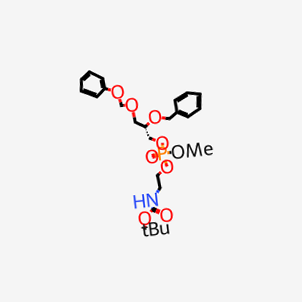 COP(=O)(OCCNC(=O)OC(C)(C)C)OC[C@H](COCOc1ccccc1)OCc1ccccc1